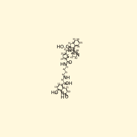 O=C(NCCCCNCC(O)c1ccc(O)c2[nH]c(=O)ccc12)c1ccc(CNC2(C(=O)O)Cc3ccccc3[C@H]2C2CN3CCC2CC3)s1